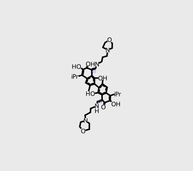 Cc1cc2c(c(O)c1-c1c(C)cc3c(c1O)/C(=C/NCCCN1CCOCC1)C(=O)C(O)=C3C(C)C)/C(=C/NCCCN1CCOCC1)C(=O)C(O)=C2C(C)C